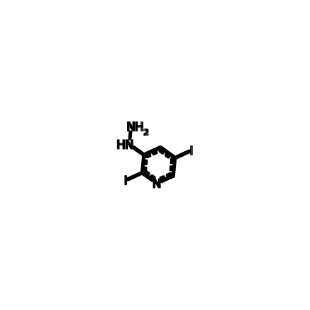 NNc1cc(I)cnc1I